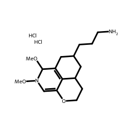 COC1C2=C3C(=CN1OC)OCCC3CC(CCCN)C2.Cl.Cl